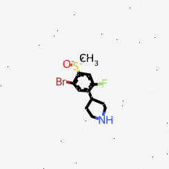 C[S@@+]([O-])c1cc(F)c(C2CCNCC2)cc1Br